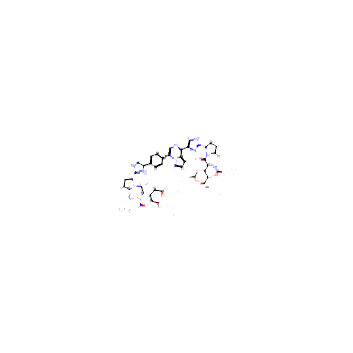 COC(=O)NC(C(=O)N1[C@@H](C)CC[C@H]1C1=NCC(c2ccc(-c3cnc(-c4cnc([C@@H]5CCC(C)N5C(=O)[C@@H](NC(=O)OC)[C@H]5C[C@@H](C)O[C@@H](C)C5)[nH]4)c4cccn34)cc2)N1)[C@H]1C[C@@H](C)O[C@@H](C)C1